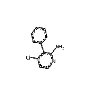 Nc1nccc(Cl)c1-c1ccccc1